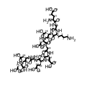 NCCCC[C@H](NC(=O)CNC(=O)[C@@H](N)CCC(=O)O)C(=O)N[C@@H](CC(=O)O)C(=O)N[C@@H](CC(=O)O)C(=O)NCC(=O)N[C@@H](CCC(=O)O)C(=O)N[C@@H](CCC(=O)O)C(=O)NCC(=O)N[C@@H](CC(=O)O)C(=O)N[C@@H](CC(=O)O)C(=O)O